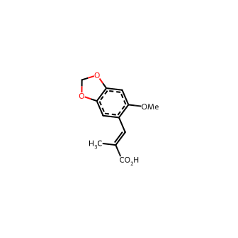 COc1cc2c(cc1C=C(C)C(=O)O)OCO2